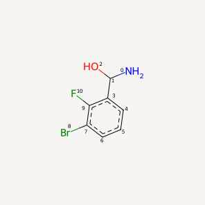 NC(O)c1cccc(Br)c1F